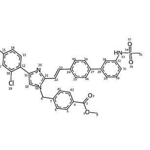 COC(=O)c1ccc(Cn2cc(-c3ccc(Cl)cc3Cl)nc2C=Cc2ccc(-c3cccc(NS(C)(=O)=O)c3)cc2)cc1